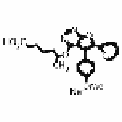 COc1ccc(-c2c(-c3ccccc3)oc3ncnc(OC(C)CCCCC(=O)O)c23)cc1.[Na]